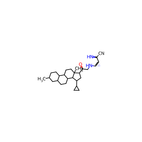 CC1CCC2C(CCC3C2CCC2(C)C(C(=O)CN/C=C\C(=N)C#N)CC(C4CC4)C32)C1